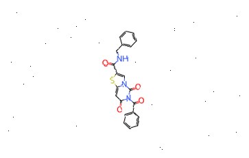 O=C(NCc1ccccc1)c1cn2c(=O)n(C(=O)c3ccccc3)c(=O)cc2s1